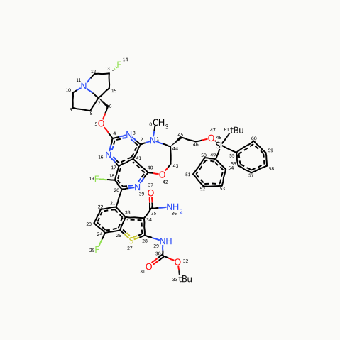 CN1c2nc(OC[C@@]34CCCN3C[C@H](F)C4)nc3c(F)c(-c4ccc(F)c5sc(NC(=O)OC(C)(C)C)c(C(N)=O)c45)nc(c23)OC[C@@H]1CCO[Si](c1ccccc1)(c1ccccc1)C(C)(C)C